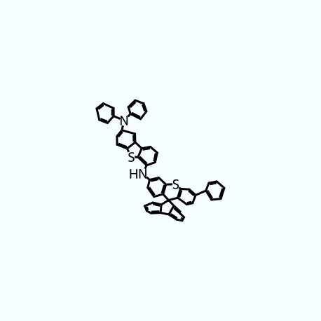 c1ccc(-c2ccc3c(c2)Sc2cc(Nc4cccc5c4sc4ccc(N(c6ccccc6)c6ccccc6)cc45)ccc2C32c3ccccc3-c3ccccc32)cc1